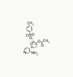 CC(=O)O[C@H]1CC[C@H](c2ccncc2N)O[C@@H]1COS(=O)(=O)c1ccc(C)cc1